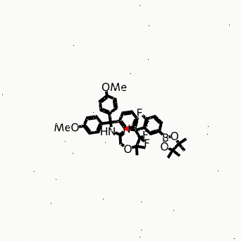 COc1ccc(C(NC2=N[C@](C)(c3cc(B4OC(C)(C)C(C)(C)O4)ccc3F)C(F)(F)C(C)(C)OC2)(c2ccccc2)c2ccc(OC)cc2)cc1